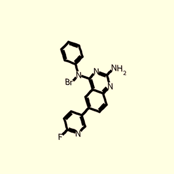 Nc1nc(N(Br)c2ccccc2)c2cc(-c3ccc(F)nc3)ccc2n1